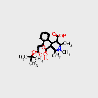 CC1=C(C(=O)O)C(c2ccccc2/C=C/C(=O)OC(C)(C)C)C(C(=O)O)=C(C)N1C